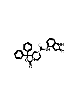 O=C1Cc2c(cccc2NC(=O)N2CCN3C(=O)OC(c4ccccc4)(c4ccccc4)C3C2)N1